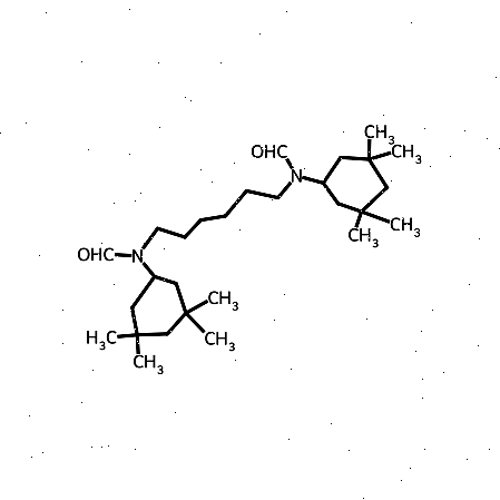 CC1(C)CC(N(C=O)CCCCCCN(C=O)C2CC(C)(C)CC(C)(C)C2)CC(C)(C)C1